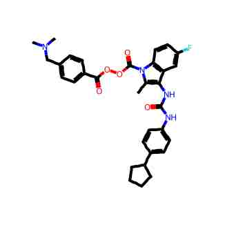 Cc1c(NC(=O)Nc2ccc(C3CCCC3)cc2)c2cc(F)ccc2n1C(=O)OOC(=O)c1ccc(CN(C)C)cc1